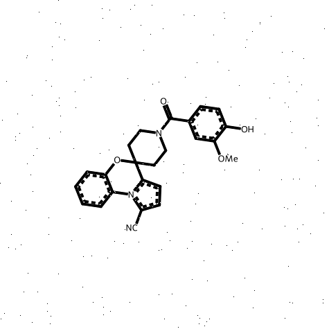 COc1cc(C(=O)N2CCC3(CC2)Oc2ccccc2-n2c(C#N)ccc23)ccc1O